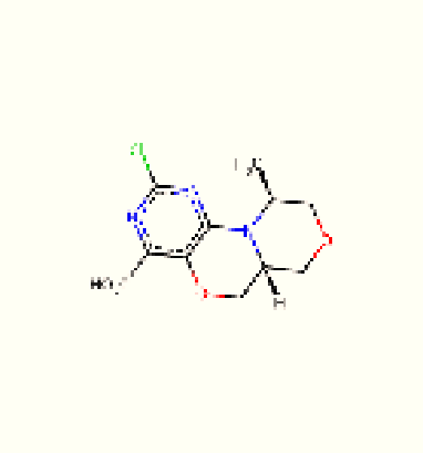 C[C@H]1COC[C@@H]2COc3c(C(=O)O)nc(Cl)nc3N21